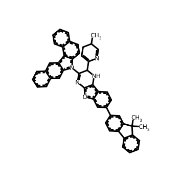 CC1C=NC(C2Nc3c(oc4cc(-c5ccc6c(c5)C(C)(C)c5ccccc5-6)ccc34)N=C2n2c3cc4ccccc4cc3c3c4ccccc4ccc32)=CC1